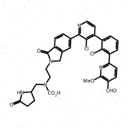 COc1nc(-c2cccc(-c3ccnc(-c4ccc5c(c4)CN(CCN(CC4CCC(=O)N4)C(=O)O)C5=O)c3Cl)c2Cl)ccc1C=O